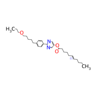 CCCC/C=C/CCCCC(=O)Oc1cnc(-c2ccc(CCCCCOCCC)cc2)nc1